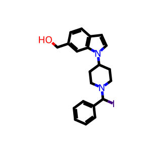 OCc1ccc2ccn(C3CCN(C(I)c4ccccc4)CC3)c2c1